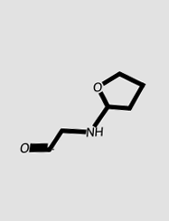 O=[C]CNC1CCCO1